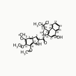 COc1cc2cc(C(=O)N3C[C@@H]([C@@H](C)Cl)c4c3cc(O)c3ccccc43)[nH]c2c(OC)c1OC